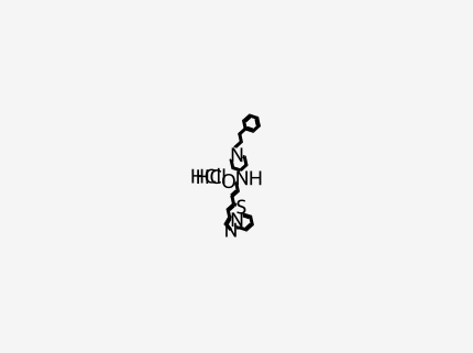 Cl.Cl.O=C(C=CC1=Cc2cnc3cccc(n23)S1)NC1CCN(CCCc2ccccc2)CC1